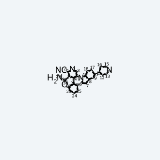 N#Cc1ncc(-n2ccc3cc(-c4ccncc4)ccc32)c(-c2ccccc2)c1C(N)=O